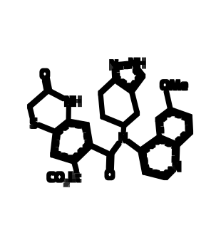 CCOC(=O)c1cc2c(cc1C(=O)N(c1ccnc3ccc(OC)cc13)C1CCc3n[nH]cc3C1)NC(=O)CS2